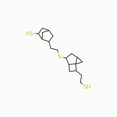 SCCC1CC2C(SCCC3CC4CC(S)C3C4)CC3CC132